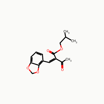 CC(=O)C(=Cc1cccc2c1OCO2)C(=O)OCC(C)C